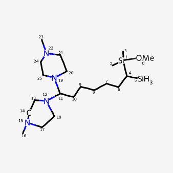 CO[Si](C)(C)C([SiH3])CCCCCC(N1CCN(C)CC1)N1CCN(C)CC1